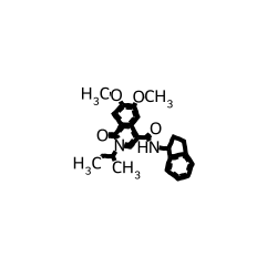 CCC(C)n1cc(C(=O)NC2CCc3ccccc32)c2cc(OC)c(OC)cc2c1=O